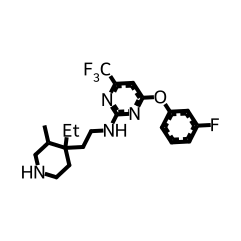 CCC1(CCNc2nc(Oc3cccc(F)c3)cc(C(F)(F)F)n2)CCNCC1C